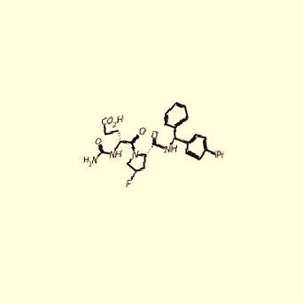 CC(C)c1ccc([C@@H](NC(=O)[C@@H]2C[C@@H](F)CN2C(=O)[C@@H](CCC(=O)O)NC(N)=O)c2ccccc2)cc1